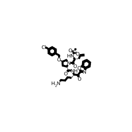 C=CC[C@@H](NS(C)(=O)=O)C(=O)N1C[C@H](OCc2ccc(Cl)cc2)C[C@H]1C(=O)N[C@@H](CCCCN)C(=O)c1nc2ccccc2o1